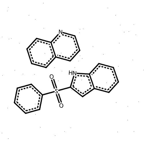 O=S(=O)(c1ccccc1)c1cc2ccccc2[nH]1.c1ccc2ncccc2c1